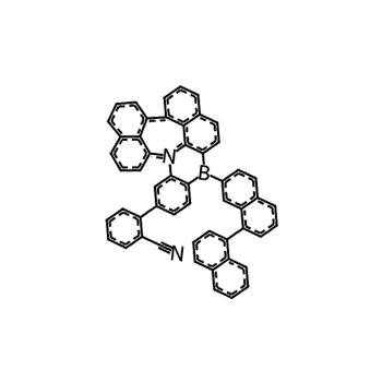 N#Cc1ccccc1-c1ccc2c(c1)-n1c3cccc4cccc(c5cccc6ccc(c1c65)B2c1ccc2cccc(-c5cccc6ccccc56)c2c1)c43